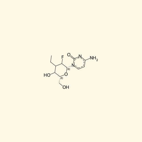 CCC1C(F)[C@H](n2ccc(N)nc2=O)O[C@H](CO)C1O